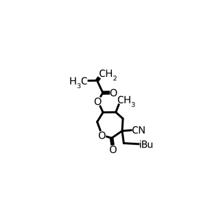 C=C(C)C(=O)OC1COC(=O)C(C#N)(CC(C)CC)CC1C